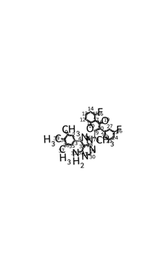 Cc1cc(-c2nn(C(C)c3oc4cccc(F)c4c(=O)c3-c3cccc(F)c3)c3ncnc(N)c23)cc(C)c1C